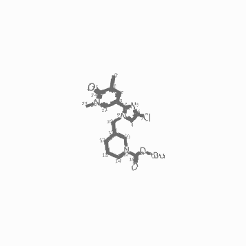 Cc1cc(-c2nc(Cl)cn2CC2CCCN(C(=O)OC(C)(C)C)C2)cn(C)c1=O